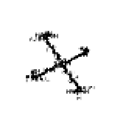 CC(=O)NC1C(OCCCCC(=O)NCCCNC(=O)CCOCC(COCCC(=O)NCCCNC(=O)CCCCOC2OC(CO)C(O)C(O)C2NC(C)=O)(COC(=O)NCCCNC(=O)CCCCOC2OC(CO)C(O)C(O)C2NC(C)=O)NC(=O)CCCCCCCCCCC(=O)N2CCC[C@H]2CO)OC(CO)C(O)C1O